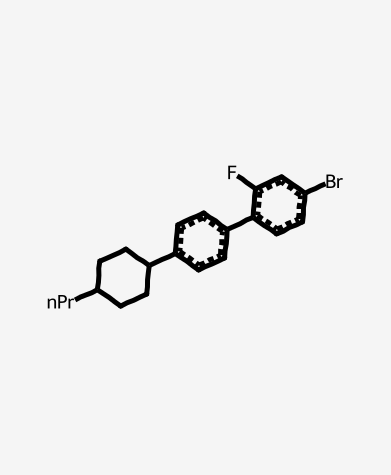 CCCC1CCC(c2ccc(-c3ccc(Br)cc3F)cc2)CC1